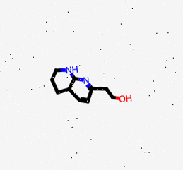 OCCC1=NC2NCCCC2C=C1